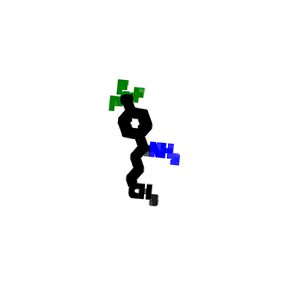 CCCC[C@@H](N)c1ccc(C(F)(F)F)cc1